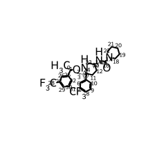 CC(OC[C@@]1(c2ccccc2)CC[C@H](NC(=O)N2CCCCC2)CN1)c1cc(C(F)(F)F)cc(C(F)(F)F)c1